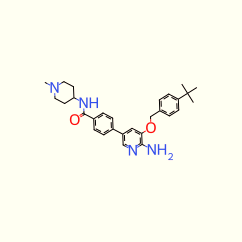 CN1CCC(NC(=O)c2ccc(-c3cnc(N)c(OCc4ccc(C(C)(C)C)cc4)c3)cc2)CC1